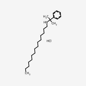 CCCCCCCCCCCCCCCNC(C)(C)c1ccccc1.Cl